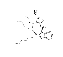 CCCCCCP(CCCCCC)C1=Cc2ccccc2[CH]1[Ti+2][C]1=C(C(C)CCC)C=CC1.[Cl-].[Cl-]